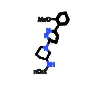 CCCCCCCCNC1CCCN(c2ccc(-c3ccccc3OC)nn2)C1